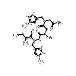 CCCN(CC(=O)N(CC(N)=O)Cc1cn(C)nn1)C(=O)CN(Cc1cn(C)nn1)C(=O)C(N)CN